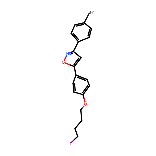 CC(C)c1ccc(-c2cc(-c3ccc(OCCCCI)cc3)on2)cc1